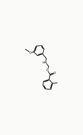 COc1cccc(CNCOC(=O)c2ccccc2C)c1